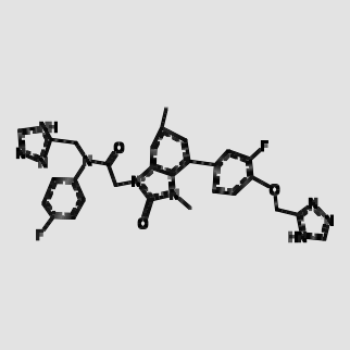 Cc1cc(-c2ccc(OCc3nnc[nH]3)c(F)c2)c2c(c1)n(CC(=O)N(Cc1nnc[nH]1)c1ccc(F)cc1)c(=O)n2C